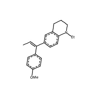 CC=C(c1ccc(OC)cc1)c1ccc2c(c1)CCCN2CC